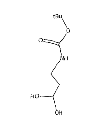 CC(C)(C)OC(=O)NCCC(O)O